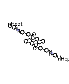 CCCCCCCOc1ccc(/N=N/c2ccc(-c3ccc(C(=O)Oc4ccc5c(ccc6ccccc65)c4-c4c(OC(=O)c5ccc(-c6ccc(/N=N/c7ccc(OCCCCCCC)cc7)cc6)cc5)ccc5c4ccc4ccccc45)cc3)cc2)cc1